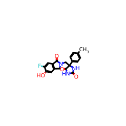 Cc1ccc(C2(CN3Cc4cc(O)c(F)cc4C3=O)NC(=O)NC2=O)cc1